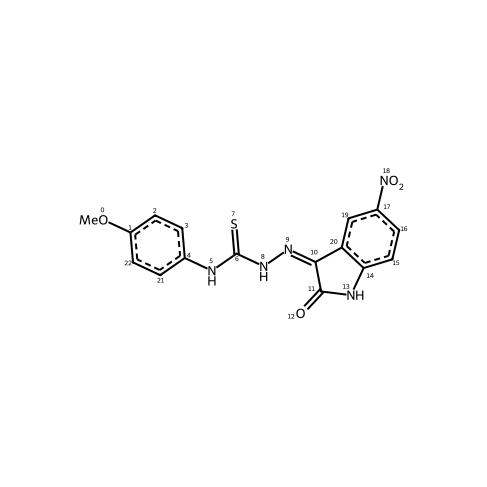 COc1ccc(NC(=S)N/N=C2\C(=O)Nc3ccc([N+](=O)[O-])cc32)cc1